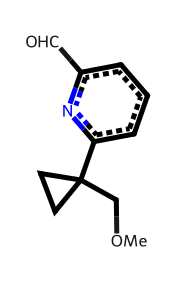 COCC1(c2cccc(C=O)n2)CC1